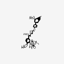 COc1cccc(-c2ccc(OCCNC[C@H](O)c3ccc(O)c(NS(C)(=O)=O)c3)cc2)c1